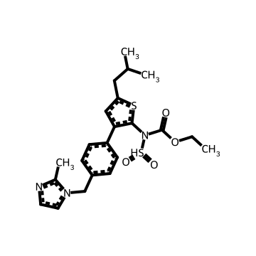 CCOC(=O)N(c1sc(CC(C)C)cc1-c1ccc(Cn2ccnc2C)cc1)[SH](=O)=O